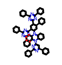 c1ccc(-c2cc(N3c4ccccc4N(c4cc(-c5ccccc5)c(-c5nc(-c6ccccc6)nc(-c6ccccc6)n5)cc4-c4nc(-c5ccccc5)nc(-c5ccccc5)n4)c4ccccc43)nc(-c3ccccc3)n2)cc1